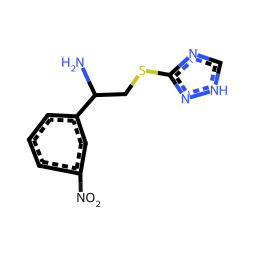 NC(CSc1nc[nH]n1)c1cccc([N+](=O)[O-])c1